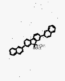 CCCCCCCCC1(CCCCCCCC)c2cc(-c3ccc4ccccc4c3)ccc2-c2ccc(-c3ccc4ccccc4c3)cc21